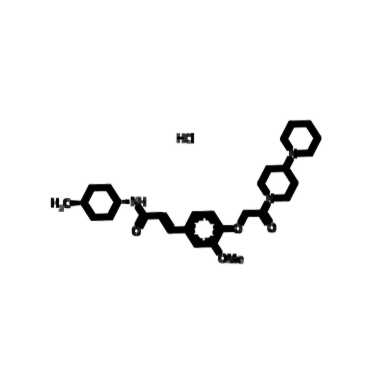 COc1cc(C=CC(=O)N[C@H]2CC[C@H](C)CC2)ccc1OCC(=O)N1CCC(N2CCCCC2)CC1.Cl